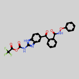 O=C(Nc1nc2cc(C(=O)c3ccccc3C(=O)NOc3ccccc3)ccc2[nH]1)OC(=O)C(F)(F)F